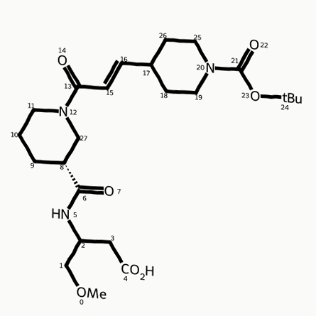 COCC(CC(=O)O)NC(=O)[C@@H]1CCCN(C(=O)/C=C/C2CCN(C(=O)OC(C)(C)C)CC2)C1